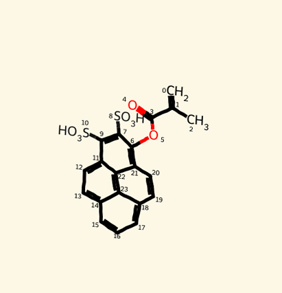 C=C(C)C(=O)Oc1c(S(=O)(=O)O)c(S(=O)(=O)O)c2ccc3cccc4ccc1c2c43